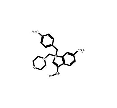 COc1ccc(C[N+]2(CN3CCOCC3)C=C(NO)c3ccc(C(=O)O)cc32)cc1